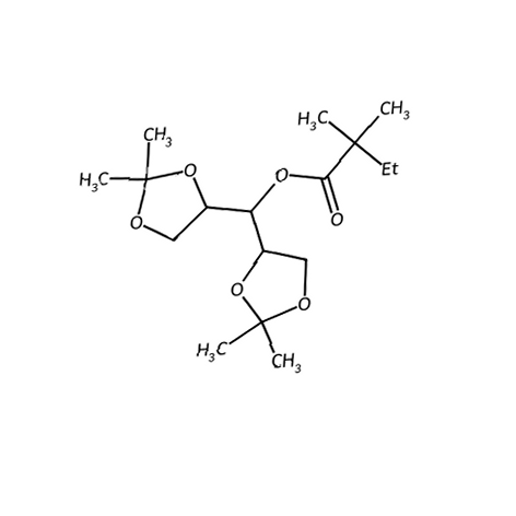 CCC(C)(C)C(=O)OC(C1COC(C)(C)O1)C1COC(C)(C)O1